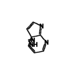 C1=CC23N=CNC2=CC=NC3=N1